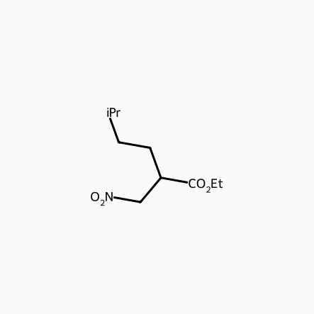 CCOC(=O)C(CCC(C)C)C[N+](=O)[O-]